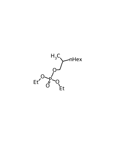 CCCCCCC(C)COP(=O)(OCC)OCC